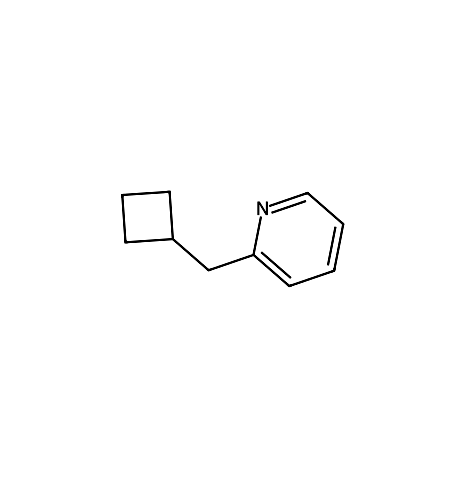 c1ccc(CC2CCC2)nc1